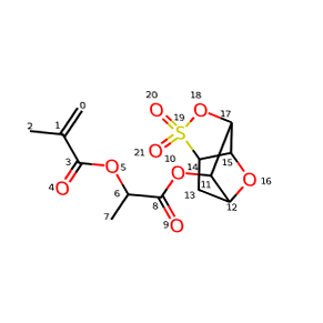 C=C(C)C(=O)OC(C)C(=O)OC1C2CC3C(O2)C1OS3(=O)=O